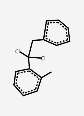 Cc1ccccc1C(Cl)(Cl)Cc1ccccc1